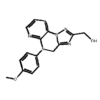 COc1ccc(N2Cc3nc(CO)nn3-c3cccnc32)cc1